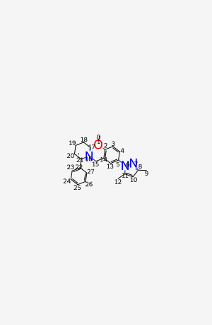 COc1ccc(-n2nc(C)cc2C)cc1CN1CCC[CH]C1c1ccccc1